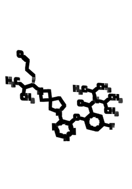 CC(C)[C@H](CCC=O)N1CC2(CCN(c3ncnnc3Oc3ccc(F)cc3C(=O)N(C(C)C)C(C)C)C2)C1